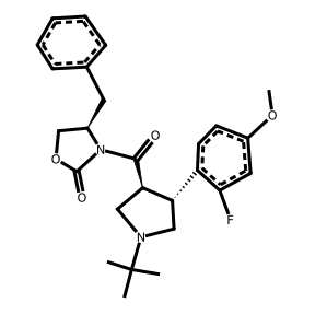 COc1ccc([C@@H]2CN(C(C)(C)C)C[C@H]2C(=O)N2C(=O)OC[C@H]2Cc2ccccc2)c(F)c1